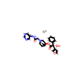 O=C(C[N+]12CCC(CC1)C(OC(=O)[C@@](O)(c1ccccc1)c1ccoc1)C2)Nc1cncnc1.[Br-]